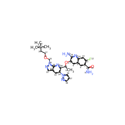 C[C@H](Oc1cc2cc(C(N)=O)c(F)cc2nc1N)c1nc2c(cnn2COCC[Si](C)(C)C)cc1-n1cccn1